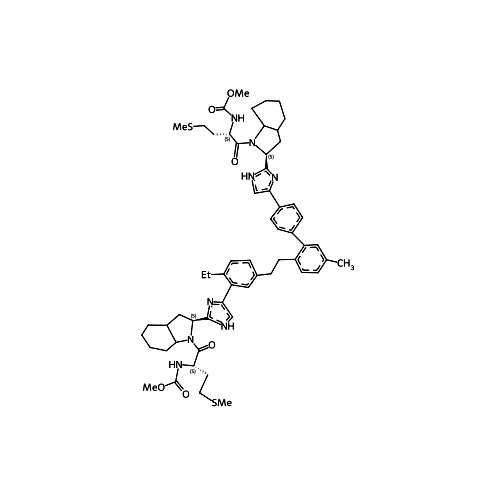 CCc1ccc(CCc2ccc(C)cc2-c2ccc(-c3c[nH]c([C@@H]4CC5CCCCC5N4C(=O)[C@H](CCSC)NC(=O)OC)n3)cc2)cc1-c1c[nH]c([C@@H]2CC3CCCCC3N2C(=O)[C@H](CCSC)NC(=O)OC)n1